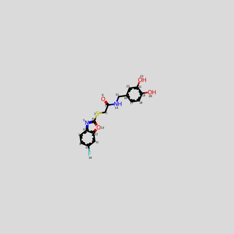 O=C(CSc1nc2ccc(F)cc2o1)NCc1ccc(O)c(O)c1